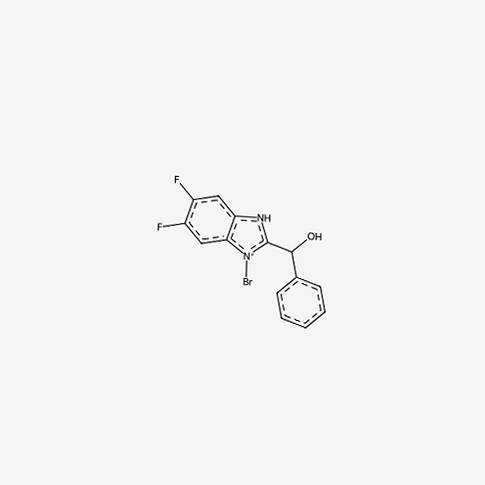 OC(c1ccccc1)c1[nH]c2cc(F)c(F)cc2[n+]1Br